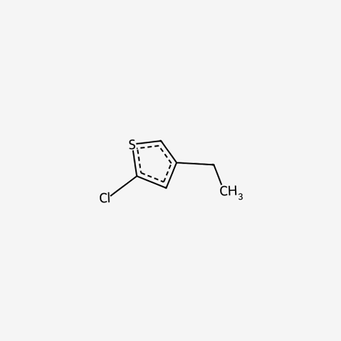 CCc1csc(Cl)c1